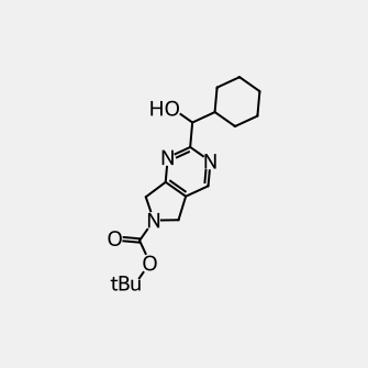 CC(C)(C)OC(=O)N1Cc2cnc(C(O)C3CCCCC3)nc2C1